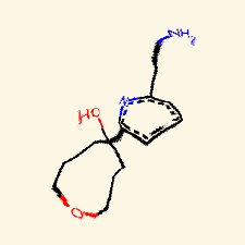 NCc1cccc(C2(O)CCOCC2)n1